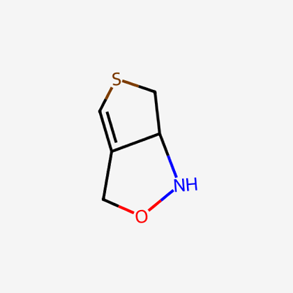 C1=C2CONC2CS1